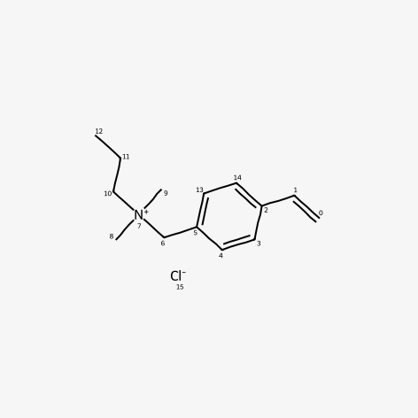 C=Cc1ccc(C[N+](C)(C)CCC)cc1.[Cl-]